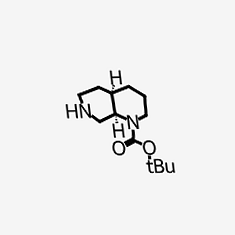 CC(C)(C)OC(=O)N1CCC[C@@H]2CCNC[C@@H]21